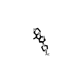 CC(=O)N1CCN(c2cnc3c(c2)c(C)c2n3CCN=C2)CC1